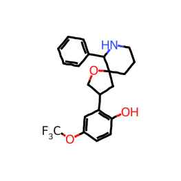 Oc1ccc(OC(F)(F)F)cc1C1COC2(CCCNC2c2ccccc2)C1